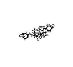 CO[Si](C)(CCC1CCC2OC2C1)O[Si](C)(C)O[Si]1(O[Si](C)(CCC2CCC3OC3C2)OC)CCCC1